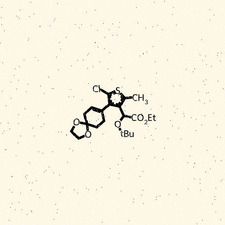 CCOC(=O)C(OC(C)(C)C)c1c(C)sc(Cl)c1C1=CCC2(CC1)OCCO2